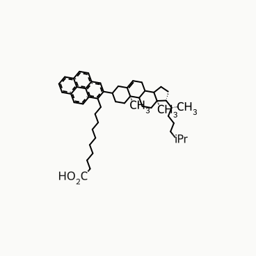 CC(C)CCC[C@@H](C)[C@H]1CCC2C3CC=C4CC(c5cc6ccc7cccc8ccc(c5CCCCCCCCCC(=O)O)c6c78)CC[C@]4(C)C3CC[C@@]21C